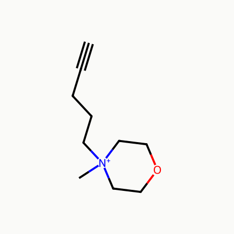 C#CCCC[N+]1(C)CCOCC1